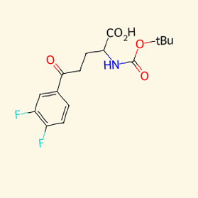 CC(C)(C)OC(=O)NC(CCC(=O)c1ccc(F)c(F)c1)C(=O)O